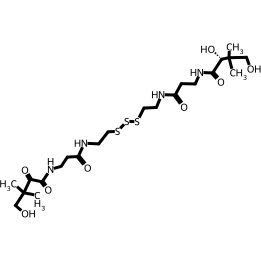 CC(C)(CO)C(=O)C(=O)NCCC(=O)NCCSSSCCNC(=O)CCNC(=O)[C@H](O)C(C)(C)CO